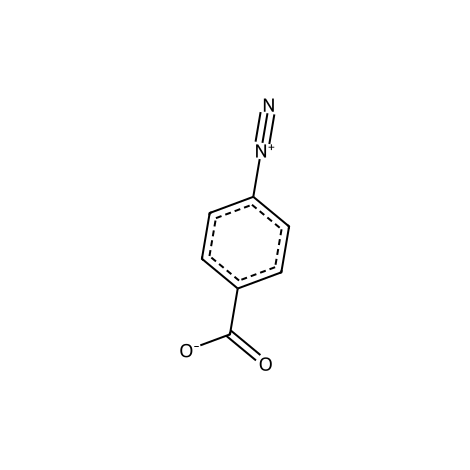 N#[N+]c1ccc(C(=O)[O-])cc1